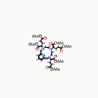 COC(=O)CC[C@H](C(=O)OC)N1CCN([C@H](CCC(=O)OC)C(=O)OC)Cc2cccc(n2)CN([C@H](CCC(=O)OC)C(=O)OC)CC1